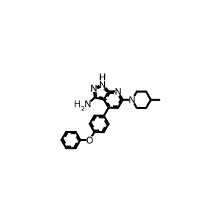 CC1CCN(c2cc(-c3ccc(Oc4ccccc4)cc3)c3c(N)n[nH]c3n2)CC1